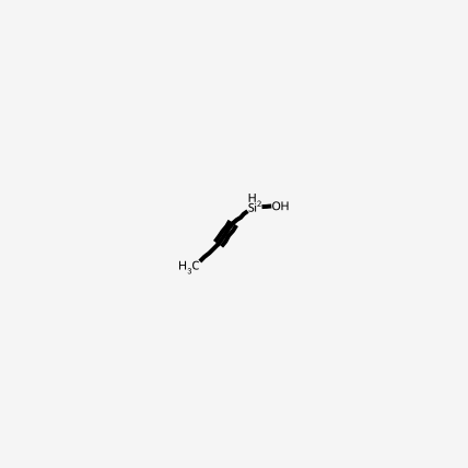 CC#C[SiH2]O